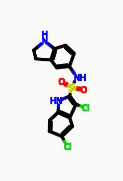 O=S(=O)(Nc1ccc2c(c1)CCN2)c1[nH]c2ccc(Cl)cc2c1Cl